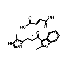 Cc1[nH]cnc1CCC(=O)c1c(C)sc2ccccc12.O=C(O)C=CC(=O)O